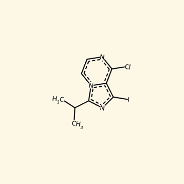 CC(C)c1nc(I)c2c(Cl)nccn12